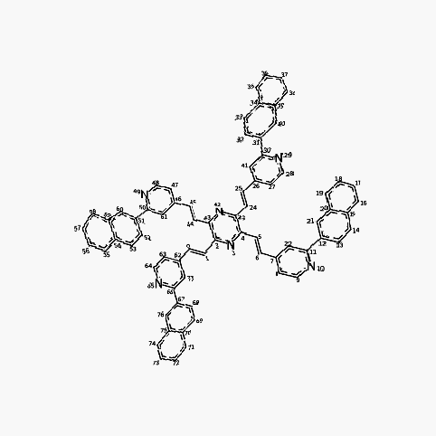 C(=Cc1nc(C=Cc2ccnc(-c3ccc4ccccc4c3)c2)c(C=Cc2ccnc(-c3ccc4ccccc4c3)c2)nc1C=Cc1ccnc(-c2ccc3ccccc3c2)c1)c1ccnc(-c2ccc3ccccc3c2)c1